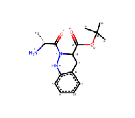 C[C@@H](N)C(=O)N1Nc2ccccc2CC1C(=O)OC(C)(C)C